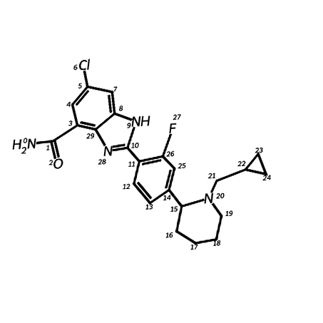 NC(=O)c1cc(Cl)cc2[nH]c(-c3ccc(C4CCCCN4CC4CC4)cc3F)nc12